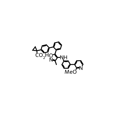 COc1ncccc1-c1cccc(Nc2c(C)noc2-c2ccccc2-c2ccc(C3(C(=O)O)CC3)cc2)c1